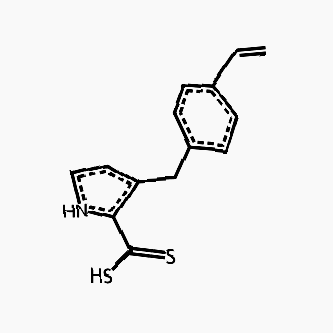 C=Cc1ccc(Cc2cc[nH]c2C(=S)S)cc1